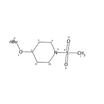 CCCCOC1CCN(S(C)(=O)=O)CC1